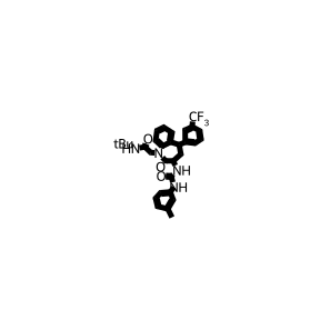 Cc1cccc(NC(=O)NC2CC(c3cccc(C(F)(F)F)c3)c3ccccc3N(CC(=O)NC(C)(C)C)C2=O)c1